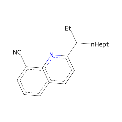 CCCCCCCC(CC)c1ccc2cccc(C#N)c2n1